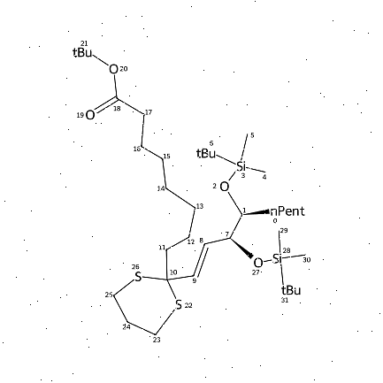 CCCCC[C@H](O[Si](C)(C)C(C)(C)C)[C@H](/C=C/C1(CCCCCCCC(=O)OC(C)(C)C)SCCCS1)O[Si](C)(C)C(C)(C)C